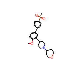 COc1ccc(-c2ccc(S(C)(=O)=O)cc2)cc1C1CCN(C2CCOCC2)CC1